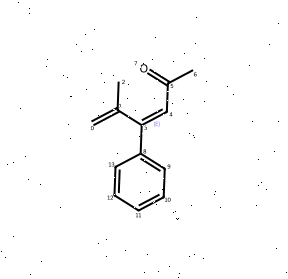 C=C(C)/C(=C\C(C)=O)c1ccccc1